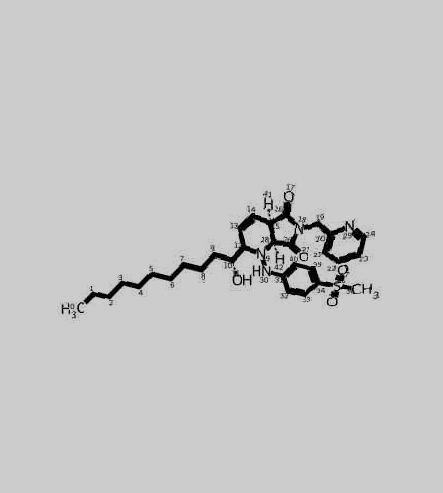 CCCCCCCCCC[C@@H](O)C1C=C[C@H]2C(=O)N(Cc3ccccn3)C(=O)[C@H]2N1Nc1ccc(S(C)(=O)=O)cc1